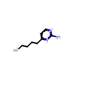 CCCCCc1ccnc(N)n1